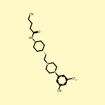 N#CCCCC(=O)N[C@H]1CC[C@H](CCN2CCN(c3cc(C#N)cc(C(F)(F)F)c3)CC2)CC1